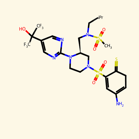 CC(C)CN(C[C@H]1CN(S(=O)(=O)C2=CC(N)=CCC2=S)CCN1c1ncc(C(O)(C(F)(F)F)C(F)(F)F)cn1)S(C)(=O)=O